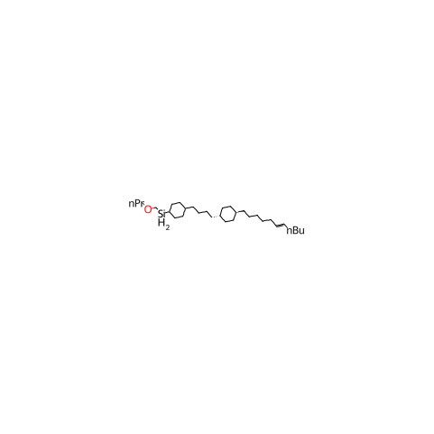 CCCC/C=C/CCCCC[C@H]1CC[C@H](CCCCC2CCC([SiH2]COCCC)CC2)CC1